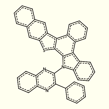 c1ccc(-c2nc3ccccc3nc2-n2c3ccccc3c3c4ccccc4c4c5cc6ccccc6cc5sc4c32)cc1